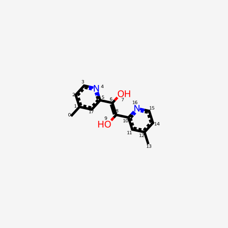 Cc1ccnc(C(O)=C(O)c2cc(C)ccn2)c1